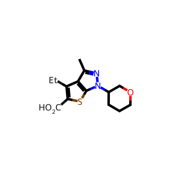 CCc1c(C(=O)O)sc2c1c(C)nn2C1CCCOC1